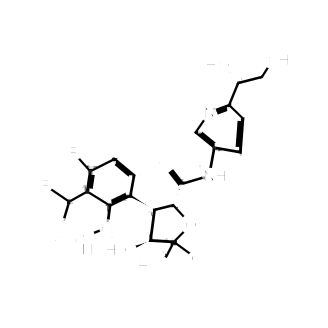 CC[C@@H](O)c1ccc(NC(=O)[C@@H]2OC(C)(C)[C@@H](C)[C@H]2c2ccc(F)c(C(F)F)c2OC)cn1